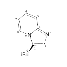 CC[C@H](C)c1cnc2ccccn12